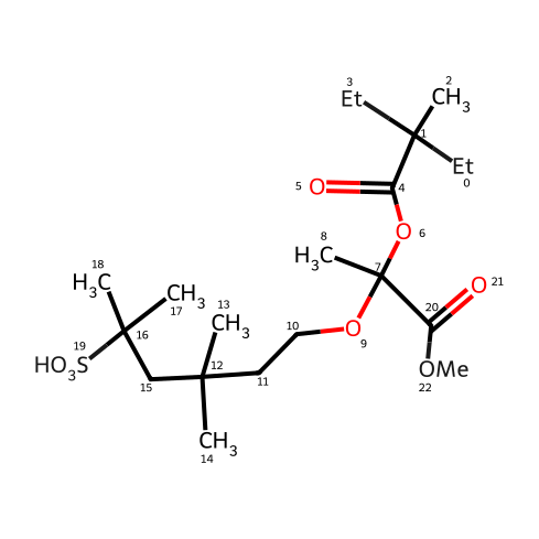 CCC(C)(CC)C(=O)OC(C)(OCCC(C)(C)CC(C)(C)S(=O)(=O)O)C(=O)OC